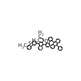 C=C/C=C\c1c(C)c(-c2ccc3sc4c(C)cccc4c3c2)c2c(c1-c1cccc3c1oc1cccc(-c4c5ccccc5c(-c5ccccc5)c5ccccc45)c13)CCC=C2